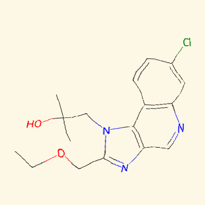 CCOCc1nc2cnc3cc(Cl)ccc3c2n1CC(C)(C)O